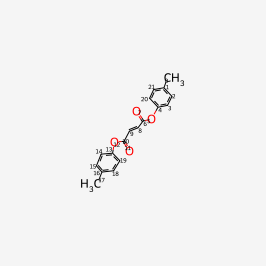 Cc1ccc(OC(=O)/C=C/C(=O)Oc2ccc(C)cc2)cc1